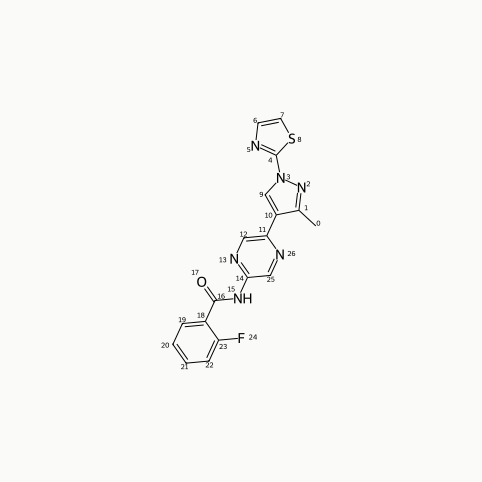 Cc1nn(-c2nccs2)cc1-c1cnc(NC(=O)c2ccccc2F)cn1